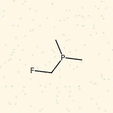 CP(C)CF